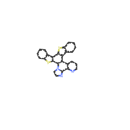 c1ccc2c(c1)sc1c2c2sc3ccccc3c2c2c3cccnc3c3nccn3c12